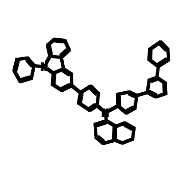 C1=Cc2c(cccc2N(c2ccc(-c3cccc(-c4ccccc4)c3)cc2)c2ccc(-c3ccc4c(c3)c3ccccc3n4-c3ccccc3)cc2)CC1